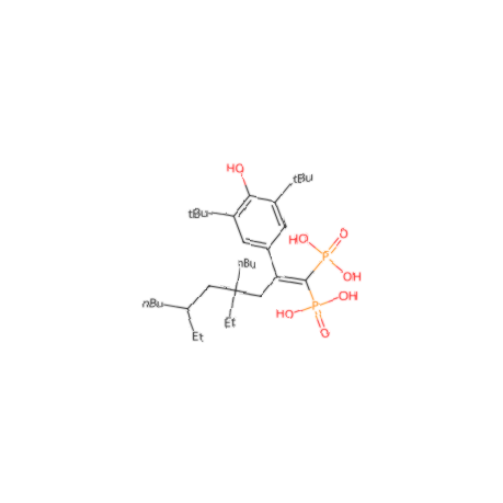 CCCCC(CC)CC(CC)(CCCC)CC(=C(P(=O)(O)O)P(=O)(O)O)c1cc(C(C)(C)C)c(O)c(C(C)(C)C)c1